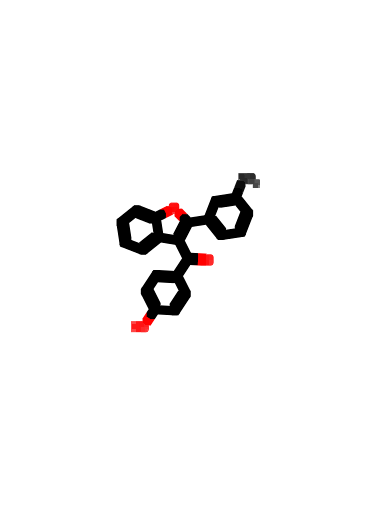 O=C(c1ccc(O)cc1)c1c(-c2cccc([N+](=O)[O-])c2)oc2ccccc12